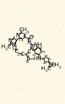 Cc1cc2cc(n1)-c1cnn(C)c1OCCCC(C1CC1)CN1/C(=N/C2=O)Nc2ccc(NC3CCC(N(C)C)C3)cc21